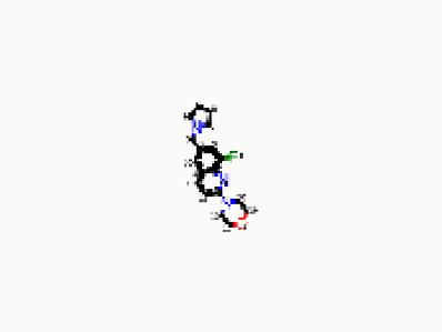 Fc1cc(CN2CCCC2)cc2ccc(N3CCOCC3)nc12